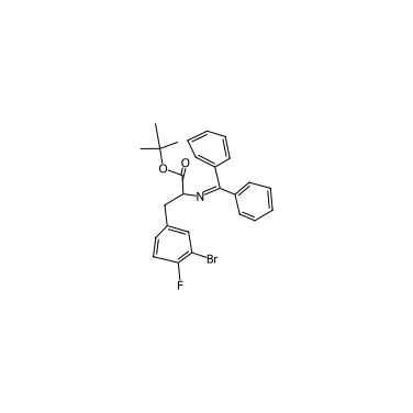 CC(C)(C)OC(=O)C(Cc1ccc(F)c(Br)c1)N=C(c1ccccc1)c1ccccc1